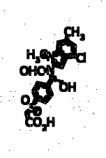 Cc1cc(Cl)c2cc(N(C=O)[C@H](CO)c3ccc(S(=O)(=O)CC(=O)O)cc3)n(C)c2c1